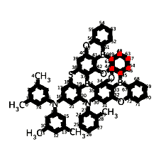 Cc1cc(C)cc(N(c2cc(C)cc(C)c2)c2cc3c4c(c2)N(c2ccccc2C)c2cc5c6c(c2B4c2c(cc4c7c2Oc2ccccc2B7c2ccccc2O4)S3)Oc2ccccc2B6c2ccccc2O5)c1